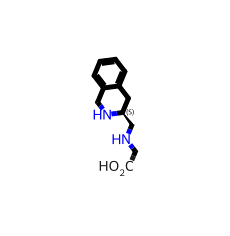 O=C(O)CNC[C@@H]1Cc2ccccc2CN1